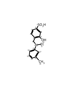 CCN(Cc1ccc(S(=O)(=O)O)cc1O)c1cccc(C)c1